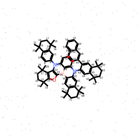 CC(C)(C)c1cc2c3c(c1)N(c1ccc4c(c1)C(C)(C)CCC4(C)C)c1c(oc4c1C(C)(C)CCC4(C)C)B3c1cc3c(cc1N2c1cc2c(cc1-c1ccc4ccccc4c1)C(C)(C)CCC2(C)C)C(C)(C)CCC3(C)C